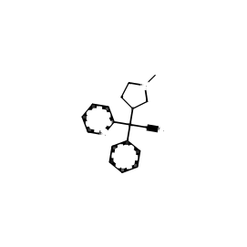 CN1CCC(C(C#N)(c2ccccc2)c2ccccn2)C1